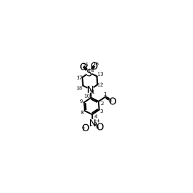 O=Cc1cc([N+](=O)[O-])ccc1N1CCS(=O)(=O)CC1